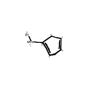 C[CH2][Mn][C]1=CC=CC1